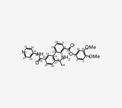 COc1ccc(OC(=O)c2cccc(-c3cc(C(=O)Nc4ccncc4)ccc3C(C)N)c2)cc1OC